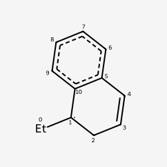 CC[C]1CC=Cc2ccccc21